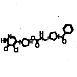 O=C(NC[C@@H]1CCN(C(=O)c2ccccc2)C1)O[C@@H]1CCN(c2cn[nH]c(=O)c2Cl)C1